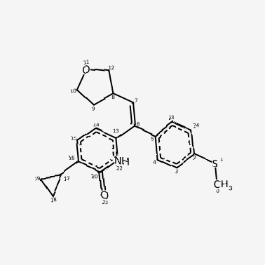 CSc1ccc(C(=CC2CCOC2)c2ccc(C3CC3)c(=O)[nH]2)cc1